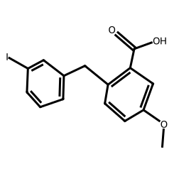 COc1ccc(Cc2cccc(I)c2)c(C(=O)O)c1